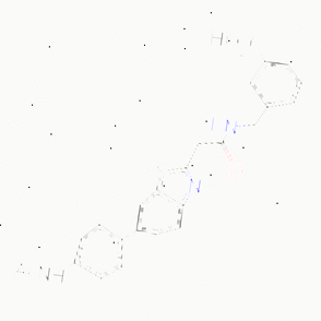 CC(=O)Nc1ccc(-c2ccc3nc(CC(=O)NCc4cccc(C(=O)O)c4)sc3c2)cc1